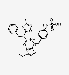 CCc1csc([C@H](Cc2ccc(NS(=O)(=O)O)cc2)NC(=O)C(Cc2ccccc2)c2nc(C)no2)n1